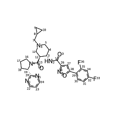 O=C(N[C@H]1CCN(CC2CC2)C[C@@H]1C(=O)N1CCC[C@H]1c1ncccn1)c1cc(-c2ccc(F)cc2F)on1